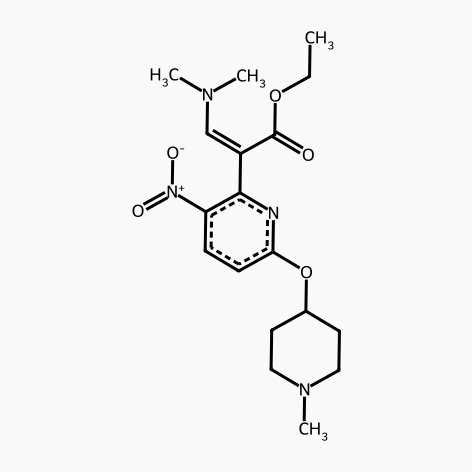 CCOC(=O)C(=CN(C)C)c1nc(OC2CCN(C)CC2)ccc1[N+](=O)[O-]